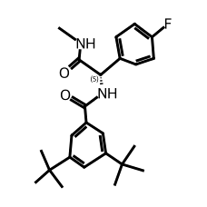 CNC(=O)[C@@H](NC(=O)c1cc(C(C)(C)C)cc(C(C)(C)C)c1)c1ccc(F)cc1